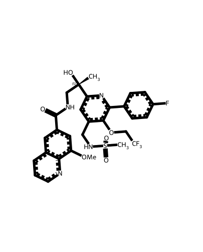 COc1cc(C(=O)NC[C@](C)(O)c2cc(CNS(C)(=O)=O)c(OCC(F)(F)F)c(-c3ccc(F)cc3)n2)cc2cccnc12